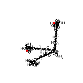 CC(=O)NC1C(O)[C@@H](O)C(CO)O[C@H]1OCCCCC(=O)NCCCNC(=O)CCOCC(COCCC(=O)NCCCNC(=O)CCCCO[C@@H]1OC2C3C(CO)[C@H](O)C(O)C3C21NC(C)=O)(COCCC(=O)NCCCNC(=O)CCCCO[C@@H]1OC2C3C(CO)[C@H](O)C(O)C3C21NC(C)=O)NC(=O)CON